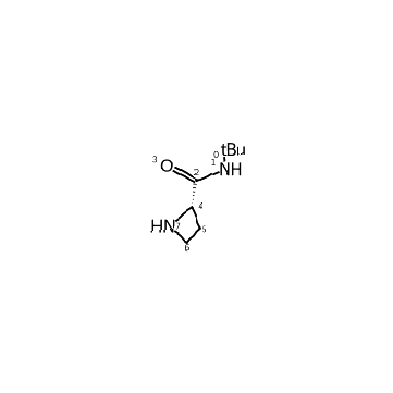 CC(C)(C)NC(=O)[C@@H]1CCN1